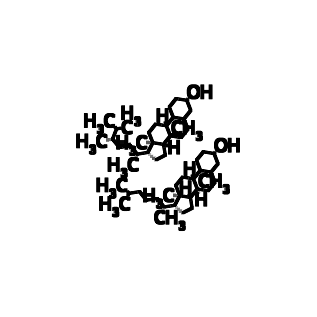 CC(C)CCC[C@@H](C)[C@H]1CC[C@H]2[C@@H]3CC=C4C[C@@H](O)CC[C@]4(C)[C@H]3CC[C@]12C.CC(C)[C@@H](C)/C=C/[C@@H](C)[C@H]1CC[C@H]2C3=CC=C4C[C@@H](O)CC[C@]4(C)[C@H]3CC[C@]12C